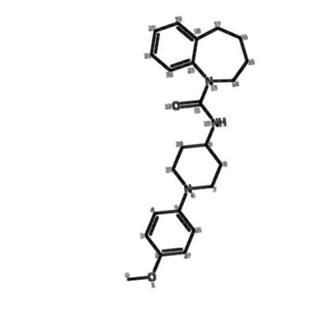 COc1ccc(N2CCC(NC(=O)N3CCCCc4ccccc43)CC2)cc1